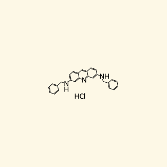 Cl.c1ccc(CNc2ccc3cc4ccc(NCc5ccccc5)cc4nc3c2)cc1